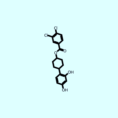 O=C(OC1CCC(c2ccc(O)cc2O)CC1)c1ccc(Cl)c(Cl)c1